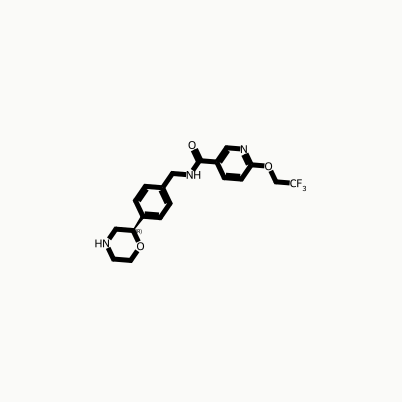 O=C(NCc1ccc([C@@H]2CNCCO2)cc1)c1ccc(OCC(F)(F)F)nc1